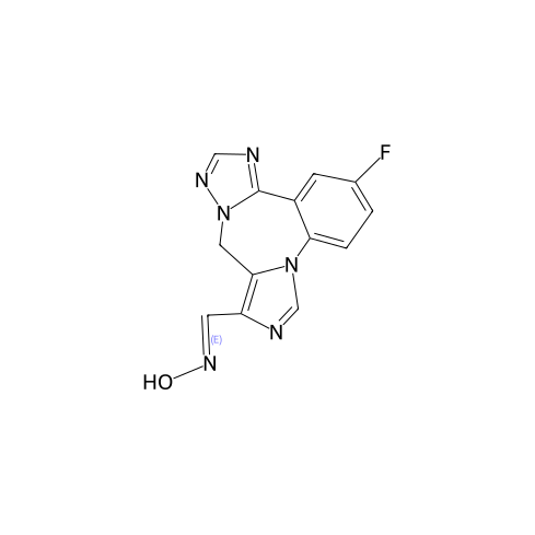 O/N=C/c1ncn2c1Cn1ncnc1-c1cc(F)ccc1-2